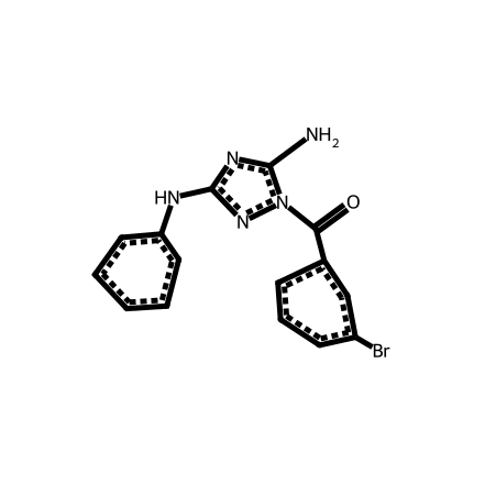 Nc1nc(Nc2ccccc2)nn1C(=O)c1cccc(Br)c1